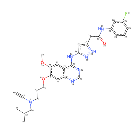 C#CN(CCCOc1cc2ncnc(Nc3cc(CC(=O)Nc4cccc(F)c4)[nH]n3)c2cc1OC)CC(C)C